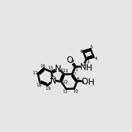 O=C(NC1=CC=C1)C1=C(O)CCc2c1nc1ccccn21